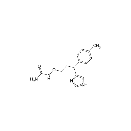 Cc1ccc(C(CCONC(N)=O)c2c[nH]cn2)cc1